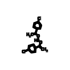 C=C(OBOC(=C)c1ccc(Cl)cc1)c1ccc(Cl)cc1